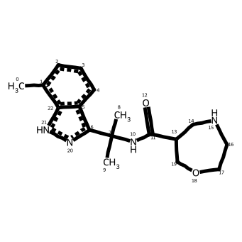 Cc1cccc2c(C(C)(C)NC(=O)C3CNCCOC3)n[nH]c12